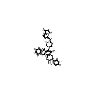 Cc1c(N2CCN(Cc3ccc4n3CCC4=O)CC2)c(=O)n(C[C@@H](N)c2ccccc2)c(=O)n1Cc1c(F)cccc1C(F)(F)F